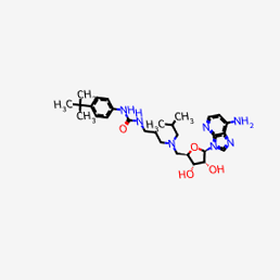 CC(C)CN(CCCNC(=O)Nc1ccc(C(C)(C)C)cc1)C[C@H]1O[C@@H](n2cnc3c(N)ccnc32)[C@H](O)[C@@H]1O